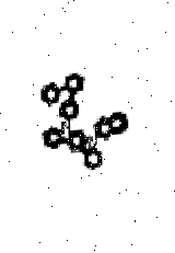 C1=Cc2c(n(-c3ccc4ccccc4c3)c3cc4c(cc23)c2ccccc2n4-c2ccc(-c3ccccc3-c3ccccc3)cc2)CC1